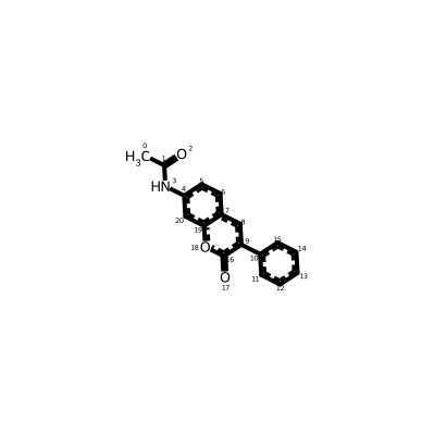 CC(=O)Nc1ccc2cc(-c3ccccc3)c(=O)oc2c1